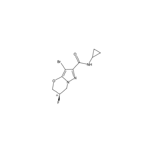 O=C(NC1CC1)c1nn2c(c1Br)OC[C@H](F)C2